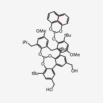 COc1cc(Cc2cc(OC)cc(C(C)(C)C)c2OP(Oc2ccccc2)Oc2ccccc2)c(Op2oc3c(C(C)(C)C)cc(CO)cc3c3cc(CO)cc(C(C)(C)C)c3o2)c(CC(C)C)c1